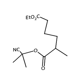 CCOC(=O)CCCC(C)C(=O)OC(C)(C)C#N